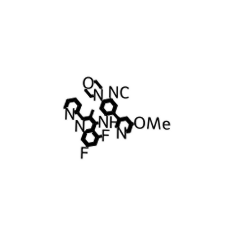 [C-]#[N+]c1cc(-c2cncc(OC)c2)c(Nc2c(C)c(-c3ccccn3)nc3cc(F)cc(F)c23)cc1N1CCOCC1